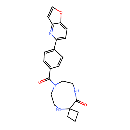 O=C(c1ccc(-c2ccc3occc3n2)cc1)N1CCNC(=O)C2(CCC2)NCC1